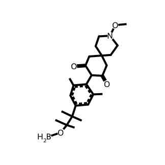 BOC(C)(C)C(C)(C)c1cc(C)c(C2C(=O)CC3(CCN(OC)CC3)CC2=O)c(C)c1